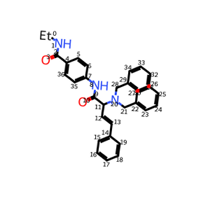 CCNC(=O)c1ccc(NC(=O)C(/C=C/c2ccccc2)N(Cc2ccccc2)Cc2ccccc2)cc1